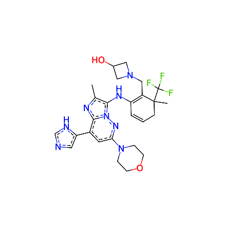 Cc1nc2c(-c3cnc[nH]3)cc(N3CCOCC3)nn2c1NC1=C(CN2CC(O)C2)C(C)(C(F)(F)F)CC=C1